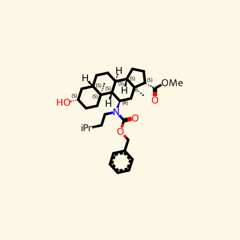 COC(=O)[C@H]1CC[C@H]2[C@@H]3CC[C@H]4C[C@@H](O)CC[C@]4(C)[C@H]3[C@H](N(CCC(C)C)C(=O)OCc3ccccc3)C[C@]12C